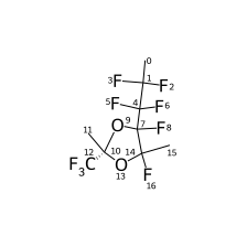 CC(F)(F)C(F)(F)C1(F)O[C@@](C)(C(F)(F)F)OC1(C)F